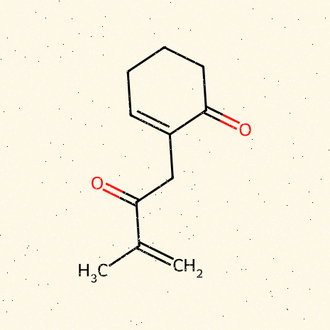 C=C(C)C(=O)CC1=CCCCC1=O